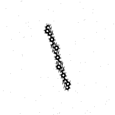 c1cnc2c(c1)ccc1cc(-c3ccc(-c4cnc5c(ccc6nc(-c7ccc(-c8cnc9c(ccc%10nc(-c%11ccc(-c%12cnc%13c(ccc%14cccnc%14%13)c%12)cc%11)cnc%109)n8)cc7)cnc65)n4)cc3)cnc12